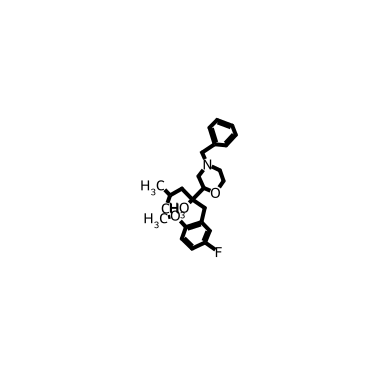 COc1ccc(F)cc1CC(O)(CC(C)C)C1CN(Cc2ccccc2)CCO1